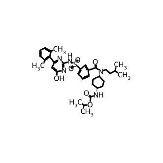 Cc1cccc(C)c1-c1cc(O)nc(NS(=O)(=O)c2cccc(C(=O)N(CCC(C)C)[C@H]3CC[C@@H](NC(=O)OC(C)C)CC3)c2)n1